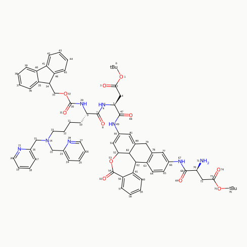 CC(C)(C)OC(=O)C[C@H](NC(=O)[C@H](CCCCN(Cc1ccccn1)Cc1ccccn1)NC(=O)OCC1c2ccccc2-c2ccccc21)C(=O)NC1=CC2OC(=O)c3ccccc3C3c4ccc(NC(=O)[C@@H](N)CC(=O)OC(C)(C)C)cc4CC(=C1)C23